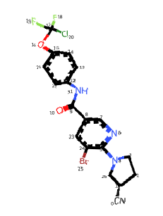 N#C[C@@H]1CCN(c2ncc(C(=O)Nc3ccc(OC(F)(F)Cl)cc3)cc2Br)C1